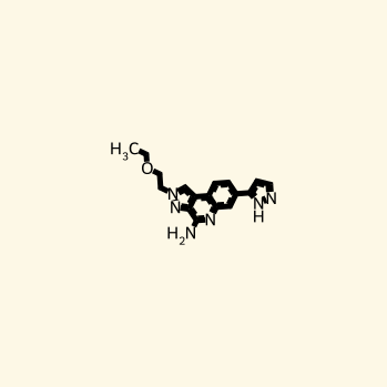 CCOCCn1cc2c(n1)c(N)nc1cc(-c3ccn[nH]3)ccc12